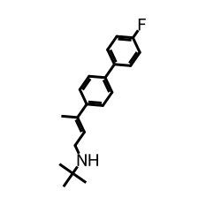 CC(=CCNC(C)(C)C)c1ccc(-c2ccc(F)cc2)cc1